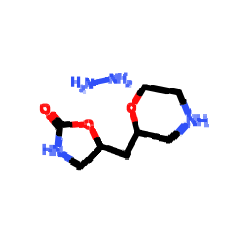 NN.O=C1NCC(CC2CNCCO2)O1